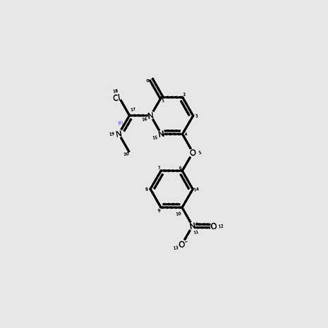 C=C1C=CC(Oc2cccc([N+](=O)[O-])c2)=NN1/C(Cl)=N\C